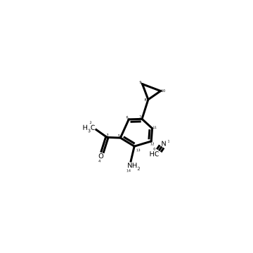 C#N.CC(=O)c1cc(C2CC2)ccc1N